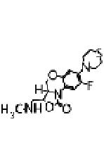 CNC[C@@H]1OC(=O)N2c3cc(F)c(N4CCSCC4)cc3OC[C@@H]12